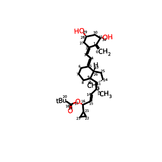 C=C1/C(=C\C=C2/CCC[C@]3(C)[C@@H]([C@H](C)/C=C/[C@H](OC(=O)C(C)(C)C)C4CC4)CC[C@@H]23)C[C@@H](O)C[C@@H]1O